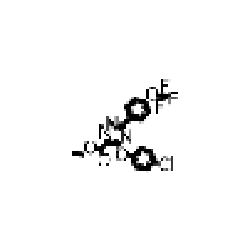 CCOC(=O)c1nnc(-c2ccc(OC(F)(F)F)cc2)nc1Oc1ccc(Cl)cc1